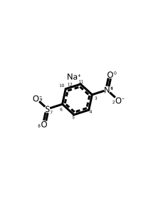 O=[N+]([O-])c1ccc(S(=O)[O-])cc1.[Na+]